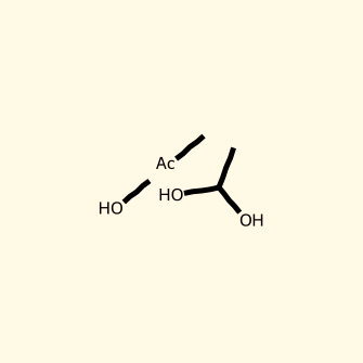 CC(C)=O.CC(O)O.CO